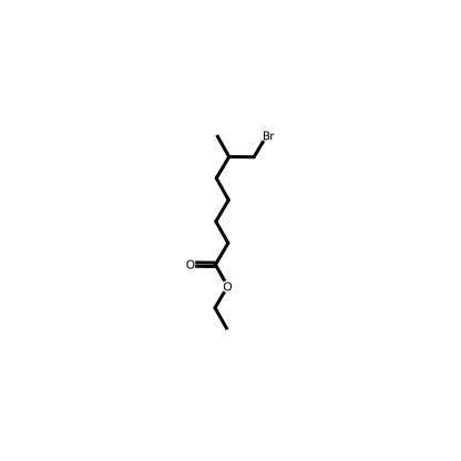 CCOC(=O)CCCCC(C)CBr